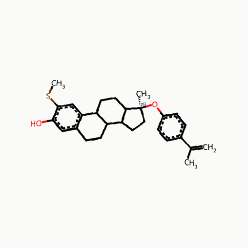 C=C(C)c1ccc(O[C@@]2(C)CCC3C4CCc5cc(O)c(SC)cc5C4CCC32)cc1